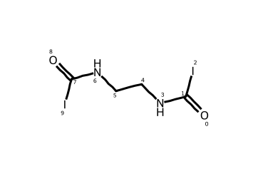 O=C(I)NCCNC(=O)I